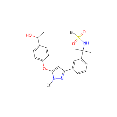 CCn1nc(-c2cccc(C(C)(C)NS(=O)(=O)CC)c2)cc1Oc1ccc(C(C)O)cc1